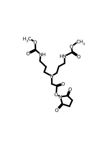 COC(=O)NCCCN(CCCNC(=O)OC)CC(=O)ON1C(=O)CCC1=O